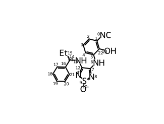 [C-]#[N+]c1cccc(Nc2n[s+]([O-])nc2N[C@H](CC)c2ccccc2)c1O